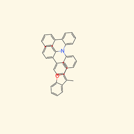 Cc1c(-c2cccc(N(c3ccccc3-c3ccccc3)c3ccccc3-c3ccccc3)c2)oc2ccccc12